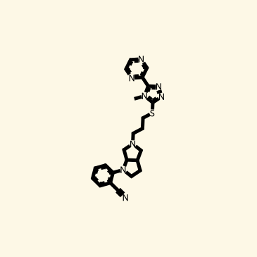 Cn1c(SCCCN2CC3CCN(c4ccccc4C#N)C3C2)nnc1-c1cnccn1